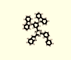 c1ccc(-c2cccc(-c3nc(-c4cc(-n5c6ccccc6c6ccccc65)cc(-n5c6ccccc6c6ccccc65)c4)nc(-c4cc5ccccc5s4)n3)c2)cc1